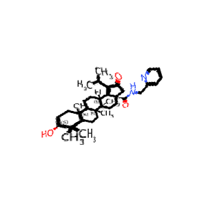 CC(C)C1=C2[C@H]3CCC4[C@@]5(C)CC[C@H](O)C(C)(C)C5CC[C@@]4(C)[C@]3(C)CC[C@@]2(C(=O)NCc2ccccn2)CC1=O